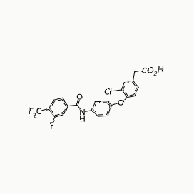 O=C(O)Cc1ccc(Oc2ccc(NC(=O)c3ccc(C(F)(F)F)c(F)c3)cc2)c(Cl)c1